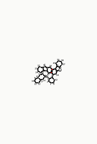 c1ccc(N(c2ccc3ccccc3c2)c2cccc3sc4ccccc4c23)c(-c2ccc3c(c2)oc2ccccc23)c1